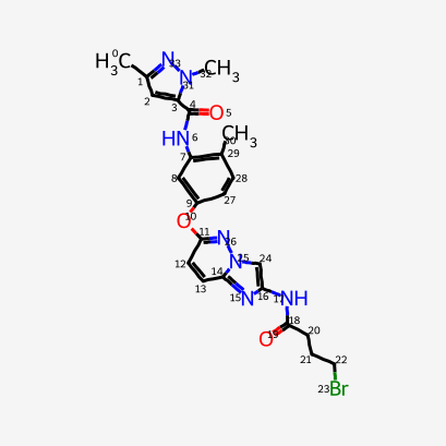 Cc1cc(C(=O)Nc2cc(Oc3ccc4nc(NC(=O)CCCBr)cn4n3)ccc2C)n(C)n1